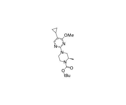 COc1nc(N2CCN(C(=O)OC(C)(C)C)[C@H](C)C2)ncc1C1CC1